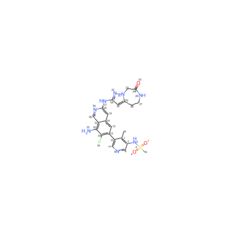 Cc1c(NS(C)(=O)=O)cncc1-c1cc2cc(Nc3cc4n(n3)CC(=O)NCC4)ncc2c(N)c1F